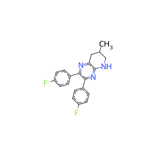 CC1CNc2nc(-c3ccc(F)cc3)c(-c3ccc(F)cc3)nc2C1